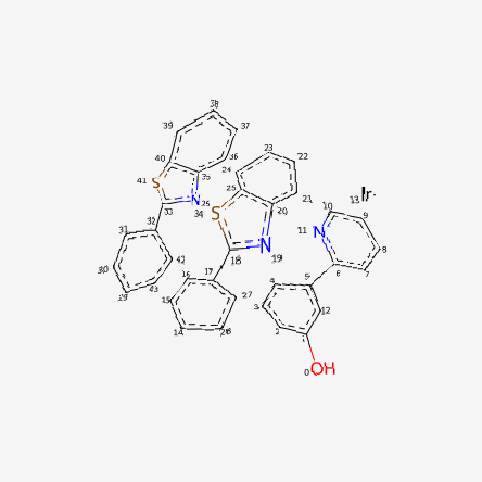 Oc1cccc(-c2ccccn2)c1.[Ir].c1ccc(-c2nc3ccccc3s2)cc1.c1ccc(-c2nc3ccccc3s2)cc1